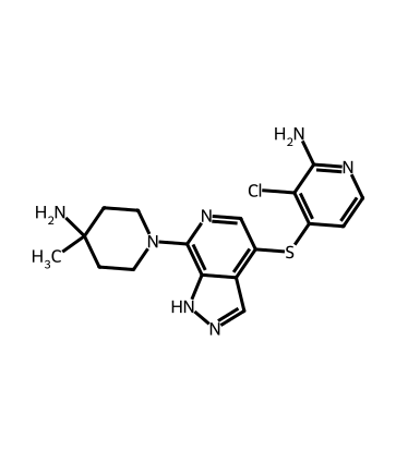 CC1(N)CCN(c2ncc(Sc3ccnc(N)c3Cl)c3cn[nH]c23)CC1